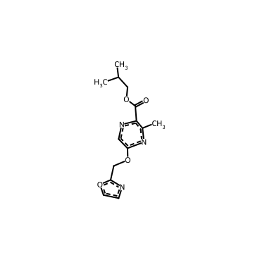 Cc1nc(OCc2ncco2)cnc1C(=O)OCC(C)C